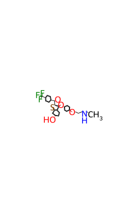 CCNCCCOc1ccc(Oc2c(C(=O)c3ccc(C(F)(F)F)cc3)sc3cc(O)ccc23)cc1